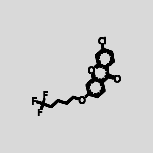 O=c1c2ccc(Cl)cc2oc2cc(OCCCCC(F)(F)F)ccc12